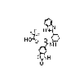 O=C(N[C@@H]1CCC[C@H](c2nc3ccccc3[nH]2)C1)c1ccc2oc(=O)[nH]c2c1.O=C(O)C(F)(F)F